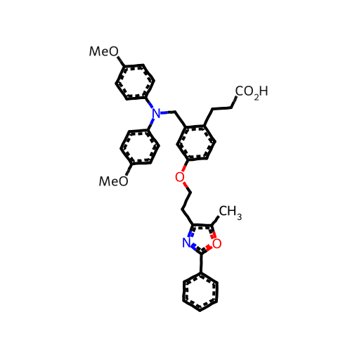 COc1ccc(N(Cc2cc(OCCc3nc(-c4ccccc4)oc3C)ccc2CCC(=O)O)c2ccc(OC)cc2)cc1